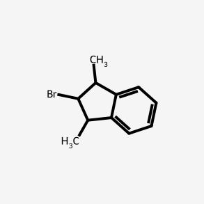 CC1c2ccccc2C(C)C1Br